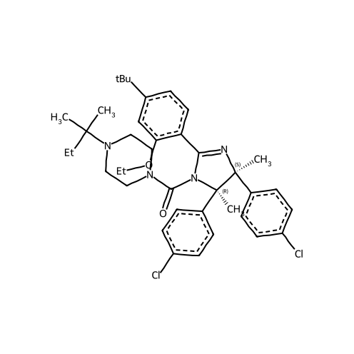 CCOc1cc(C(C)(C)C)ccc1C1=N[C@@](C)(c2ccc(Cl)cc2)[C@@](C)(c2ccc(Cl)cc2)N1C(=O)N1CCN(C(C)(C)CC)CC1